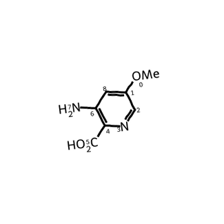 COc1cnc(C(=O)O)c(N)c1